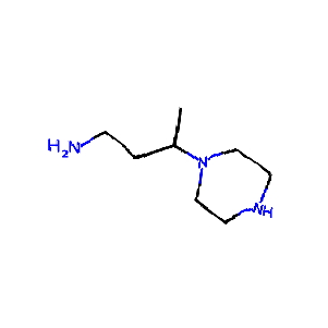 CC(CCN)N1CCNCC1